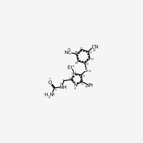 CCn1c(CNC(N)=O)nc(C(C)C)c1Sc1cc(C#N)cc(C#N)c1